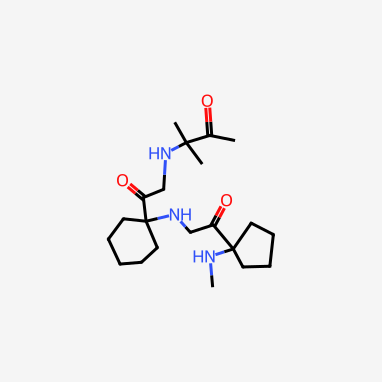 CNC1(C(=O)CNC2(C(=O)CNC(C)(C)C(C)=O)CCCCC2)CCCC1